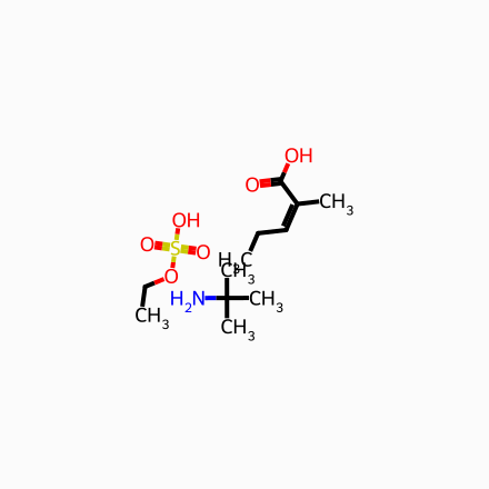 CC(C)(C)N.CCC=C(C)C(=O)O.CCOS(=O)(=O)O